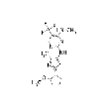 CNc1nc(Nc2cn(C3CCCC3OC)nc2C)ncc1C(F)(F)F